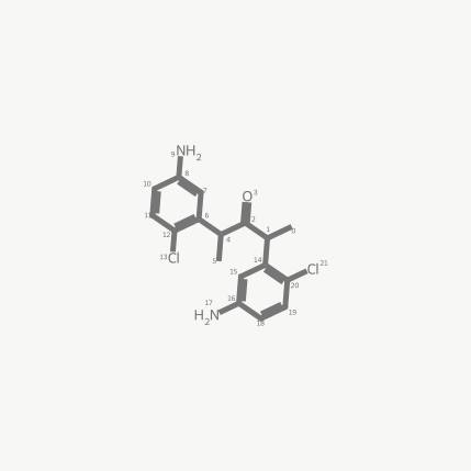 CC(C(=O)C(C)c1cc(N)ccc1Cl)c1cc(N)ccc1Cl